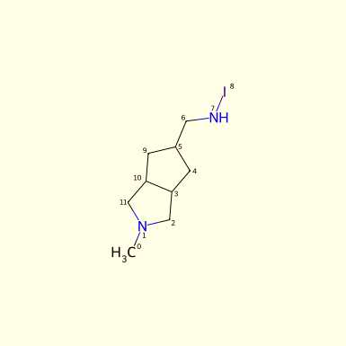 CN1CC2CC(CNI)CC2C1